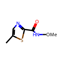 CONC(=O)c1ncc(C)s1